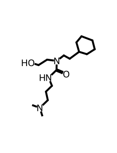 CN(C)CCCNC(=O)N(CCO)CCC1CCCCC1